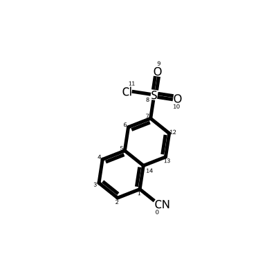 N#Cc1cccc2cc(S(=O)(=O)Cl)ccc12